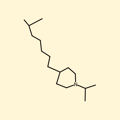 CC(C)CCCCCC1CCN(C(C)C)CC1